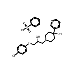 O=S(=O)(O)c1ccccc1.O[C@@H](COc1ccc(Cl)cc1)CN1CCC(O)(c2cccnc2)CC1